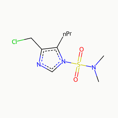 CCCc1c(CCl)ncn1S(=O)(=O)N(C)C